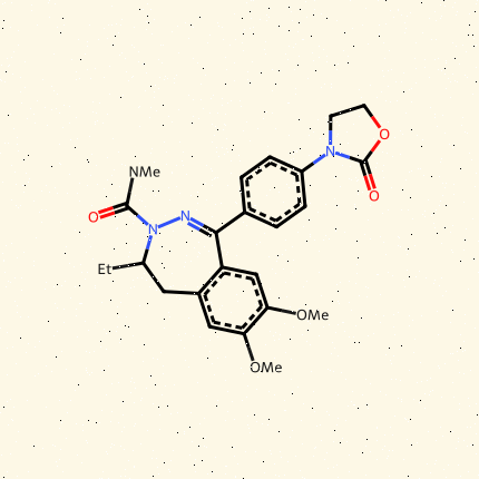 CCC1Cc2cc(OC)c(OC)cc2C(c2ccc(N3CCOC3=O)cc2)=NN1C(=O)NC